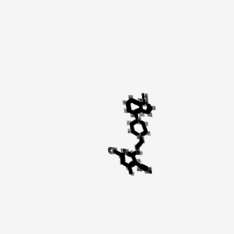 Cc1cc(Cl)nc(SCCN2CCN(c3cccc4[nH]ccc34)CC2)c1C#N